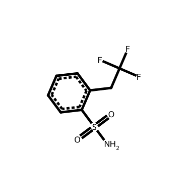 NS(=O)(=O)c1ccccc1CC(F)(F)F